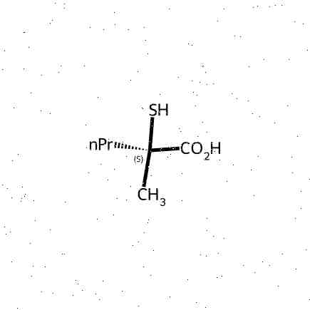 CCC[C@](C)(S)C(=O)O